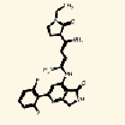 CCN1CCC(/C(N)=C/C=C(\N)Nc2cc(-c3c(F)cccc3F)nc3c2C(=O)NC3)C1=O